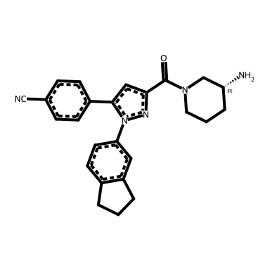 N#Cc1ccc(-c2cc(C(=O)N3CCC[C@@H](N)C3)nn2-c2ccc3c(c2)CCC3)cc1